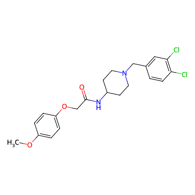 COc1ccc(OCC(=O)NC2CCN(Cc3ccc(Cl)c(Cl)c3)CC2)cc1